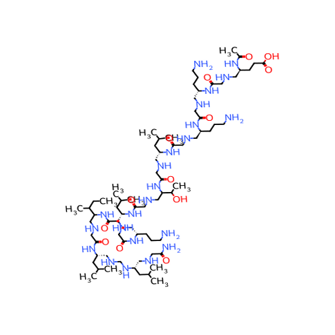 CCC(C)C(CNCC(=O)N[C@H](CNCN[C@H](CNCC(N)=O)CC(C)C)CC(C)C)NC(=O)CNC[C@H](CCCN)NC(=O)CNC[C@H](CC(C)C)NC(=O)CNCC(NC(=O)CNC[C@H](CC(C)C)NC(=O)CNC[C@H](CCCN)NC(=O)CNC[C@H](CCCN)NC(=O)CNC[C@H](CCC(=O)O)NC(C)=O)C(C)O